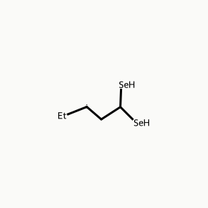 CC[CH]CC([SeH])[SeH]